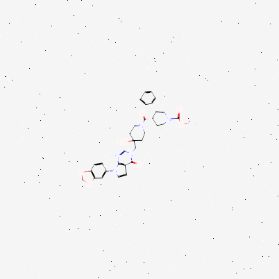 CC(C)(C)OC(=O)N1CC[C@@H](C(=O)N2CCC(O)(Cn3cnc4c(ccn4-c4ccc5c(c4)OCO5)c3=O)CC2)[C@H](c2ccccc2)C1